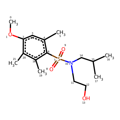 COc1cc(C)c(S(=O)(=O)N(CCO)CC(C)C)c(C)c1C